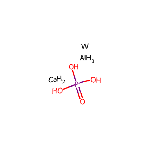 O=P(O)(O)O.[AlH3].[CaH2].[W]